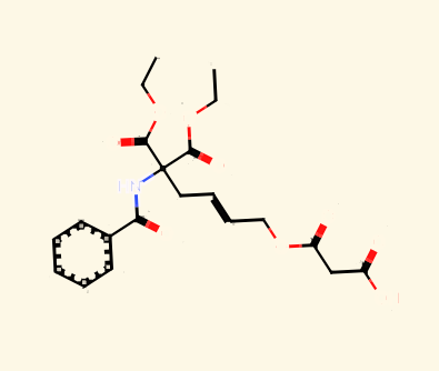 CCOC(=O)C(CC=CCOC(=O)CC(=O)O)(NC(=O)c1ccccc1)C(=O)OCC